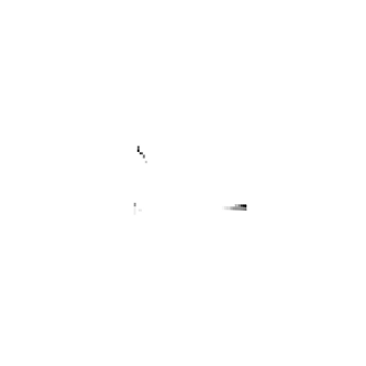 CC[C@H]1C[C@@H](C(C)C)CCN1C